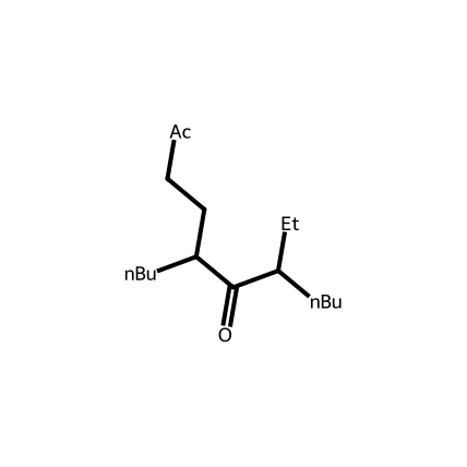 CCCCC(CC)C(=O)C(CCCC)CCC(C)=O